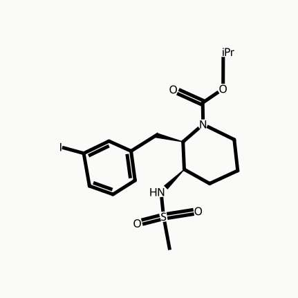 CC(C)OC(=O)N1CCC[C@@H](NS(C)(=O)=O)[C@H]1Cc1cccc(I)c1